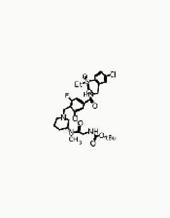 CCS(=O)(=O)c1ccc(Cl)cc1CNC(=O)c1cc(F)c(CN2CCC[C@H](N(C)C(=O)CNC(=O)OC(C)(C)C)C2)c(Cl)c1